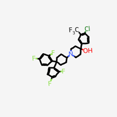 OC1(c2ccc(Cl)c(C(F)(F)F)c2)CCN(C2CCC(c3ccc(F)cc3F)(c3ccc(F)cc3F)CC2)CC1